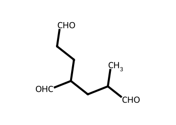 CC(C=O)CC(C=O)CCC=O